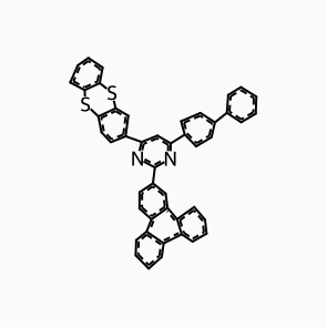 c1ccc(-c2ccc(-c3cc(-c4ccc5c(c4)Sc4ccccc4S5)nc(-c4ccc5c6ccccc6c6ccccc6c5c4)n3)cc2)cc1